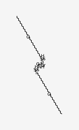 CCCCCCCCCCCCCCCOCCCCCCCCCCCCCCCS[PH](=S)SCNC(=O)C(Br)CS[PH](=S)SCCCCCCCCCCCCCCCOCCCCCCCCCCCCCCC